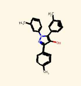 Cc1ccc(-c2nn(-c3cccc(C)c3)c(-c3cccc(C)c3)c2O)cc1